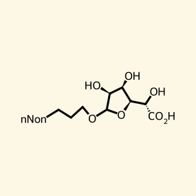 CCCCCCCCCCCCOC1O[C@H]([C@H](O)C(=O)O)[C@H](O)[C@@H]1O